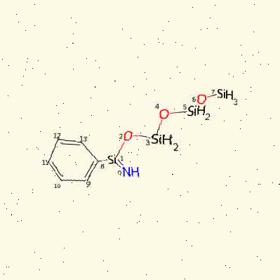 N=[Si](O[SiH2]O[SiH2]O[SiH3])c1ccccc1